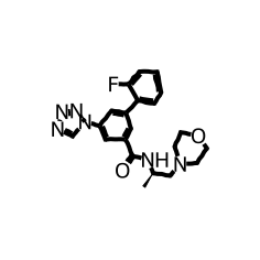 C[C@H](CN1CCOCC1)NC(=O)c1cc(-c2ccccc2F)cc(-n2cnnn2)c1